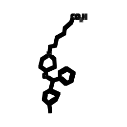 Cc1ccc(C(OC2CCN(CCCCCCC(=O)O)CC2)c2ccccc2)cc1